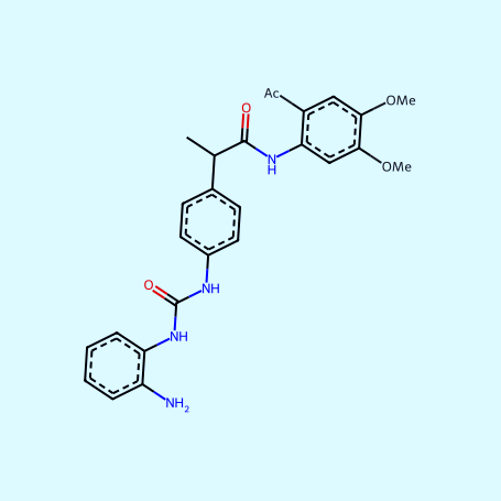 COc1cc(NC(=O)C(C)c2ccc(NC(=O)Nc3ccccc3N)cc2)c(C(C)=O)cc1OC